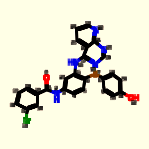 O=C(Nc1ccc(Sc2ccc(O)cc2)c(Nc2ncnc3ncccc23)c1)c1cccc(Br)c1